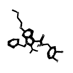 COCCOc1ccc2c(C(=O)NCc3ccc(F)c(F)c3)c(C(C)C)n(Cc3ccccc3)c2c1